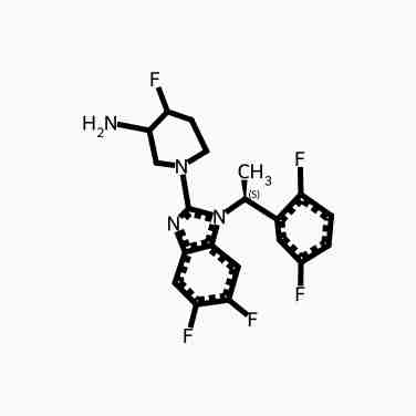 C[C@@H](c1cc(F)ccc1F)n1c(N2CCC(F)C(N)C2)nc2cc(F)c(F)cc21